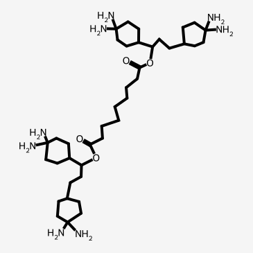 NC1(N)CCC(CCC(OC(=O)CCCCCCCC(=O)OC(CCC2CCC(N)(N)CC2)C2CCC(N)(N)CC2)C2CCC(N)(N)CC2)CC1